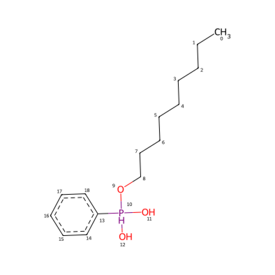 CCCCCCCCCO[PH](O)(O)c1ccccc1